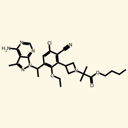 CCCCOC(=O)C(C)(C)N1CC(c2c(C#N)c(Cl)cc(C(C)n3nc(C)c4c(N)ncnc43)c2OCC)C1